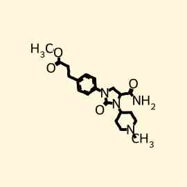 COC(=O)CCc1ccc(N2CC(C(N)=O)N(C3CCN(C)CC3)C2=O)cc1